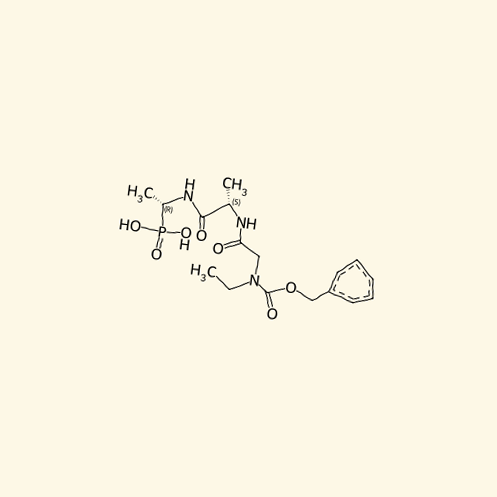 CCN(CC(=O)N[C@@H](C)C(=O)N[C@@H](C)P(=O)(O)O)C(=O)OCc1ccccc1